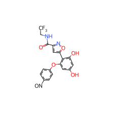 O=Nc1ccc(Oc2cc(O)cc(O)c2-c2cc(C(=O)NCC(F)(F)F)no2)cc1